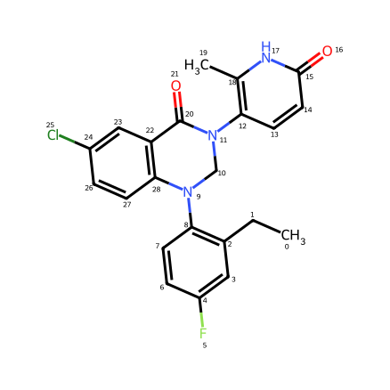 CCc1cc(F)ccc1N1CN(c2ccc(=O)[nH]c2C)C(=O)c2cc(Cl)ccc21